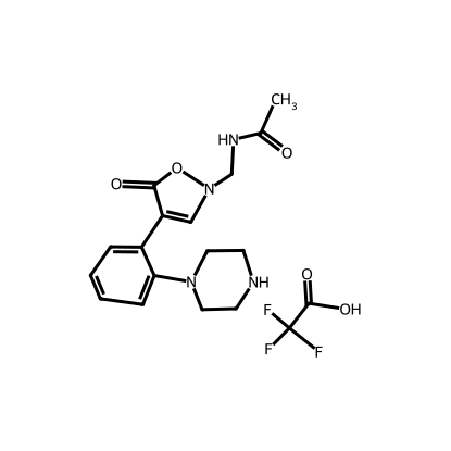 CC(=O)NCn1cc(-c2ccccc2N2CCNCC2)c(=O)o1.O=C(O)C(F)(F)F